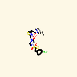 CN(C)C(=O)Cc1csc(CN2CCN(S(=O)(=O)c3cc4ccc(Cl)cc4s3)CC2=O)n1